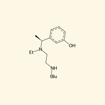 CCN(CCNC(C)(C)C)[C@@H](C)c1cccc(O)c1